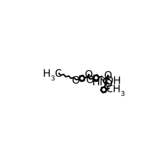 CCCCCCCOc1ccc(C(=O)Oc2ccc(C[C@H](NC(=O)c3ccccc3C)C(=O)O)cc2)cc1